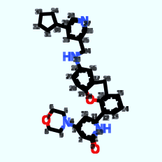 O=c1cc(N2CCOCC2)cc(-c2cccc3c2Oc2ccc(NCc4cncc(C5CCCC5)c4)cc2C3)[nH]1